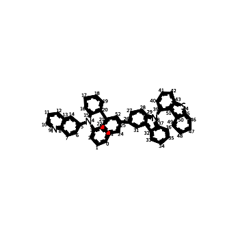 c1ccc(N(c2ccc3ncccc3c2)c2ccccc2-c2cccc(-c3ccc4c(c3)c3ccccc3n4-c3cccc4sc5ccccc5c34)c2)cc1